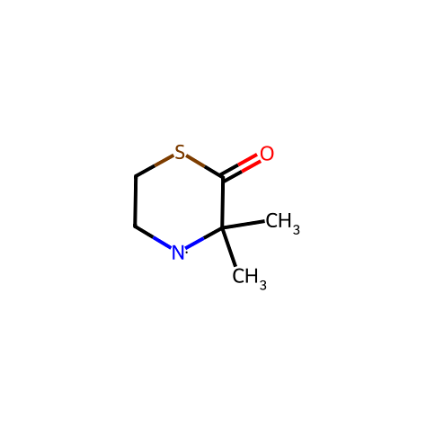 CC1(C)[N]CCSC1=O